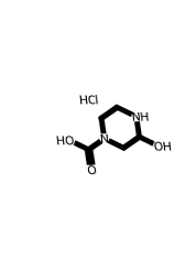 Cl.O=C(O)N1CCNC(O)C1